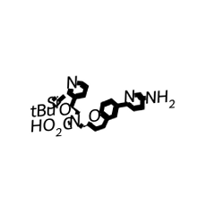 CC(C)(C)[Si](C)(C)O[C@H](CN(C[C@H]1CCc2cc(-c3ccc(N)cn3)ccc2O1)C(=O)O)c1cccnc1